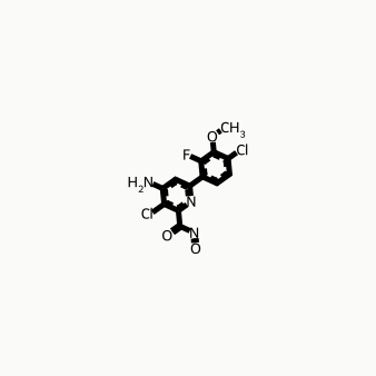 COc1c(Cl)ccc(-c2cc(N)c(Cl)c(C(=O)N=O)n2)c1F